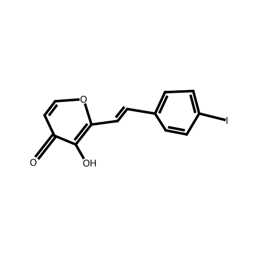 O=c1ccoc(C=Cc2ccc(I)cc2)c1O